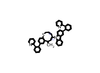 C=C1/C=C(n2c3ccccc3c3cc(-c4ccccc4-c4ccccn4)ccc32)\C=C/CSc2ccc(-c3ccccc3-c3ccccn3)cc21